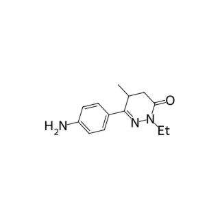 CCN1N=C(c2ccc(N)cc2)C(C)CC1=O